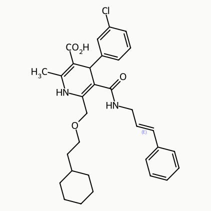 CC1=C(C(=O)O)C(c2cccc(Cl)c2)C(C(=O)NC/C=C/c2ccccc2)=C(COCCC2CCCCC2)N1